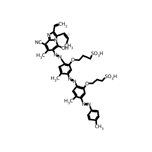 C=Cc1nc2c(C#N)c(C)c(N=Nc3cc(C)c(N=Nc4cc(C)c(N=Nc5ccc(C)cc5)cc4OCCCS(=O)(=O)O)cc3OCCCS(=O)(=O)O)c(O)n2c1/C=C\C